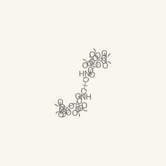 C=CC(=O)OCC(COCC(COC(=O)C=C)(COC(=O)C=C)COC(=O)Nc1ccc(C(C)(C)c2ccc(NC(=O)OCC(COCC(COC(=O)C=C)(COC(=O)C=C)COC(=O)C=C)(COC(=O)C=C)COC(=O)C=C)cc2)cc1)(COC(=O)C=C)COC(=O)C=C